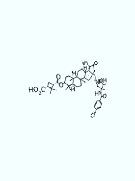 CC(C)C1=C2[C@H]3CC[C@@H]4[C@@]5(C)CC[C@H](OC(=O)[C@H]6C[C@@H](C(=O)O)C6(C)C)C(C)(C)[C@@H]5CC[C@@]4(C)[C@]3(C)CC[C@@]2(CCNCC(C)(NC(=O)c2ccc(Cl)cc2)C(C)O)CC1=O